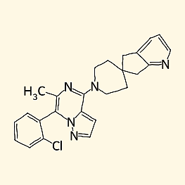 Cc1nc(N2CCC3(CC2)Cc2cccnc2C3)c2ccnn2c1-c1ccccc1Cl